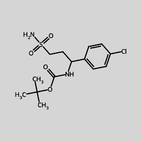 CC(C)(C)OC(=O)NC(CCS(N)(=O)=O)c1ccc(Cl)cc1